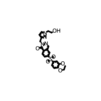 O=c1c2ccc(S(=O)(=O)c3ccc4c(c3)OCCO4)cc2cnn1Cc1ccn(CCO)n1